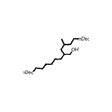 CCCCCCCCCCCCCCCCC(CO)CC(C)CCCCCCCCCCCC